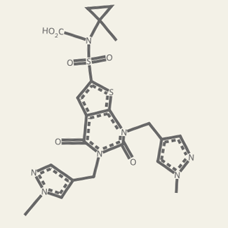 Cn1cc(Cn2c(=O)c3cc(S(=O)(=O)N(C(=O)O)C4(C)CC4)sc3n(Cc3cnn(C)c3)c2=O)cn1